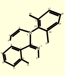 C/C=C\N(/C(=N/C)c1ccccc1C)c1c(C)cccc1C